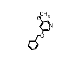 COc1cncc(OCc2ccccc2)c1